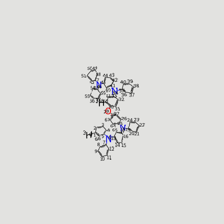 [3H]c1cccc(N(c2ccccc2)c2cccc(N(c3ccccc3)c3ccc(Oc4ccc(N(c5ccccc5)c5cccc(N(c6ccccc6)c6cccc([3H])c6)c5)cc4)cc3)c2)c1